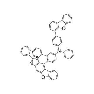 c1ccc(-c2nc3cc4oc5ccccc5c4c(-c4ccc(N(c5ccccc5)c5ccc(-c6cccc7c6oc6ccccc67)cc5)cc4-c4ccccc4)c3s2)cc1